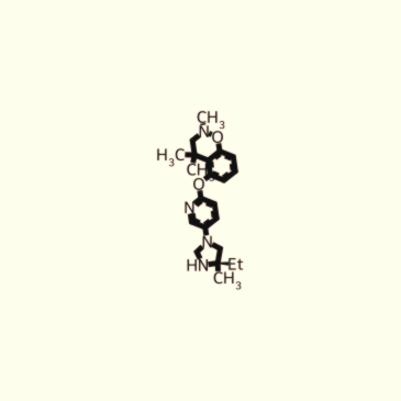 CC[C@]1(C)CN(c2ccc(Oc3cccc4c3C(C)(C)CN(C)O4)nc2)CN1